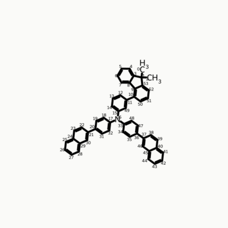 CC1(C)c2ccccc2-c2c(-c3cccc(N(c4ccc(-c5ccc6ccccc6c5)cc4)c4ccc(-c5ccc6ccccc6c5)cc4)c3)cccc21